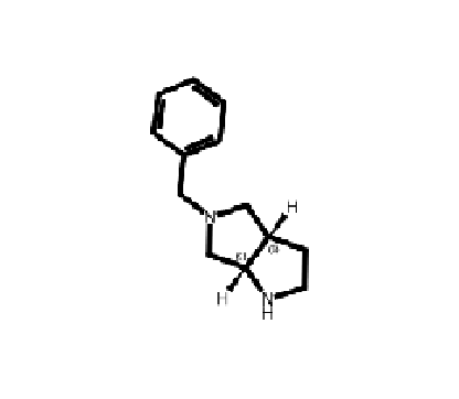 c1ccc(CN2C[C@@H]3CCN[C@@H]3C2)cc1